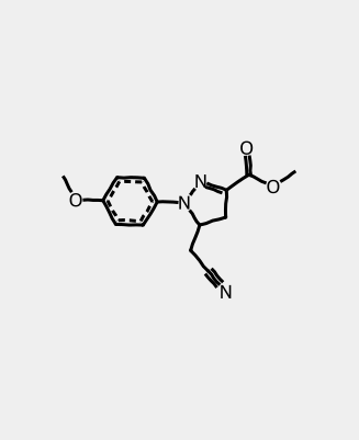 COC(=O)C1=NN(c2ccc(OC)cc2)C(CC#N)C1